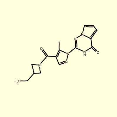 Cc1c(C(=O)N2CC(CC(F)(F)F)C2)cnn1-c1nn2cccc2c(=O)[nH]1